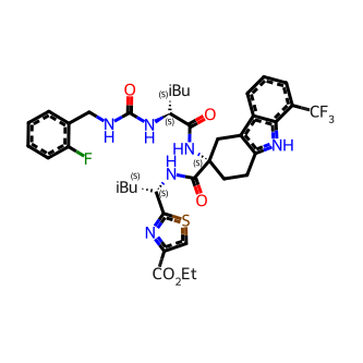 CCOC(=O)c1csc([C@@H](NC(=O)[C@]2(NC(=O)[C@@H](NC(=O)NCc3ccccc3F)[C@@H](C)CC)CCc3[nH]c4c(C(F)(F)F)cccc4c3C2)[C@@H](C)CC)n1